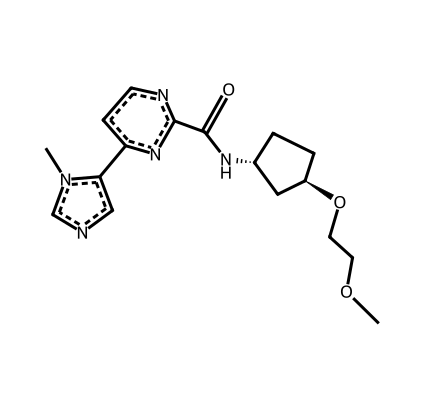 COCCO[C@@H]1CC[C@@H](NC(=O)c2nccc(-c3cncn3C)n2)C1